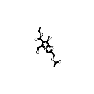 CCOC(=O)c1c(Br)c2sc(COC(C)=O)cn2c1C=O